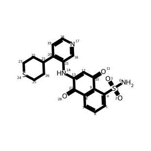 NS(=O)(=O)c1cccc2c1C(=O)C=C(Nc1cnccc1C1CCSCC1)C2=O